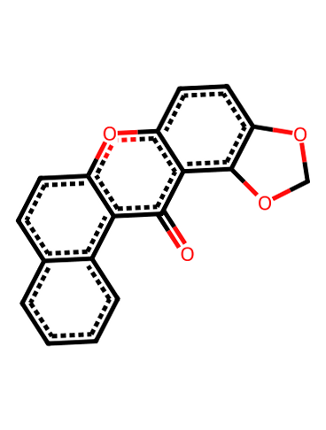 O=c1c2c3c(ccc2oc2ccc4ccccc4c12)OCO3